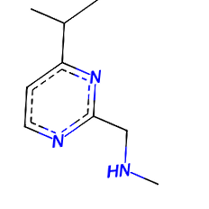 CNCc1nccc(C(C)C)n1